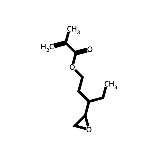 C=C(C)C(=O)OCCC(CC)C1CO1